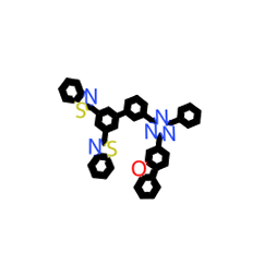 c1ccc(-c2nc(-c3cccc(-c4cc(-c5nc6ccccc6s5)cc(-c5nc6ccccc6s5)c4)c3)nc(-c3ccc4c(c3)oc3ccccc34)n2)cc1